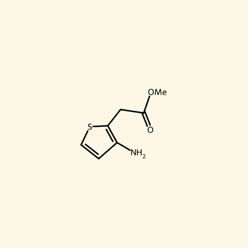 COC(=O)Cc1sccc1N